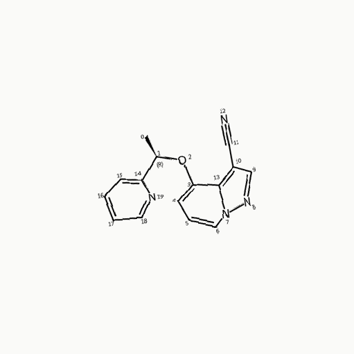 C[C@@H](Oc1cccn2ncc(C#N)c12)c1ccccn1